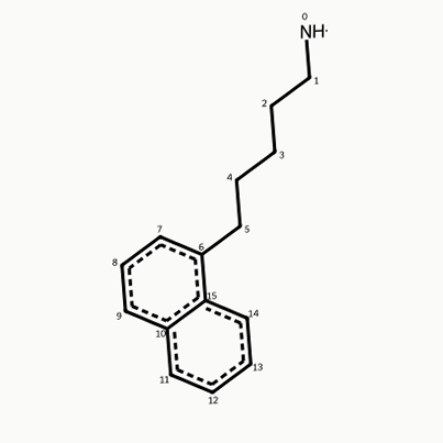 [NH]CCCCCc1cccc2ccccc12